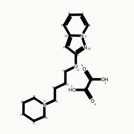 O=C(O)C(=O)O.c1ccn2nc(OCCCCN3CCCCC3)cc2c1